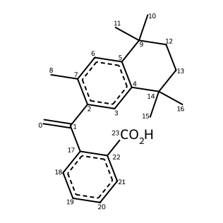 C=C(c1cc2c(cc1C)C(C)(C)CCC2(C)C)c1ccccc1C(=O)O